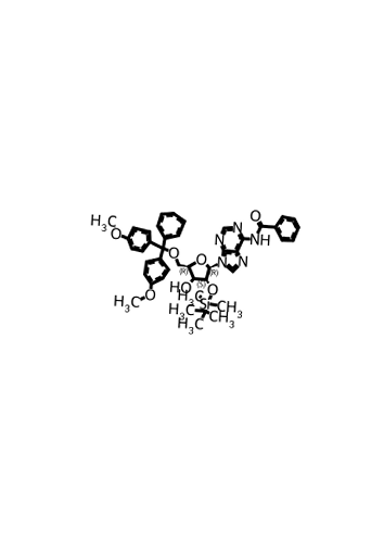 COc1ccc(C(OC[C@H]2O[C@@H](n3cnc4c(NC(=O)c5ccccc5)ncnc43)[C@@H](O[Si](C)(C)C(C)(C)C)C2O)(c2ccccc2)c2ccc(OC)cc2)cc1